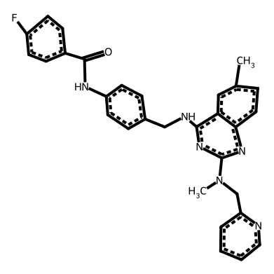 Cc1ccc2nc(N(C)Cc3ccccn3)nc(NCc3ccc(NC(=O)c4ccc(F)cc4)cc3)c2c1